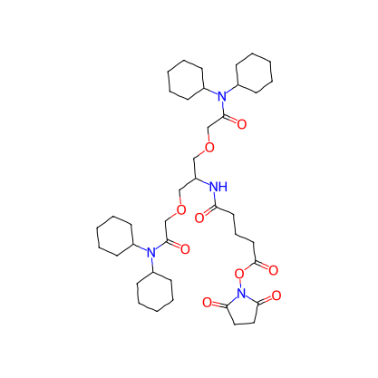 O=C(CCCC(=O)ON1C(=O)CCC1=O)NC(COCC(=O)N(C1CCCCC1)C1CCCCC1)COCC(=O)N(C1CCCCC1)C1CCCCC1